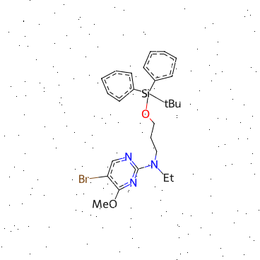 CCN(CCCO[Si](c1ccccc1)(c1ccccc1)C(C)(C)C)c1ncc(Br)c(OC)n1